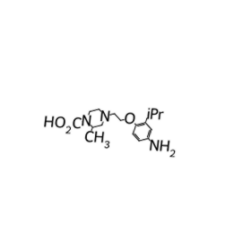 CC(C)c1cc(N)ccc1OCCN1CCN(C(=O)O)C(C)C1